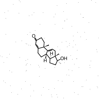 C[C@]12CCC(=O)C=C1CC[C@@H]1C2=CC[C@@]2(C)[C@H]1CC[C@]2(C)O